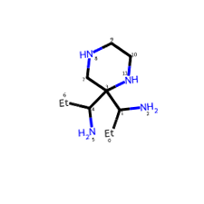 CCC(N)C1(C(N)CC)CNCCN1